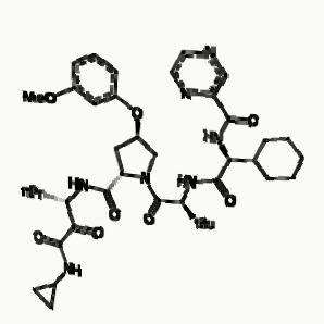 CCC[C@H](NC(=O)[C@@H]1C[C@@H](Oc2cccc(OC)c2)CN1C(=O)[C@@H](NC(=O)[C@@H](NC(=O)c1cnccn1)C1CCCCC1)C(C)(C)C)C(=O)C(=O)NC1CC1